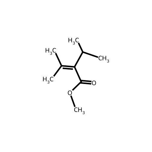 COC(=O)C(=C(C)C)C(C)C